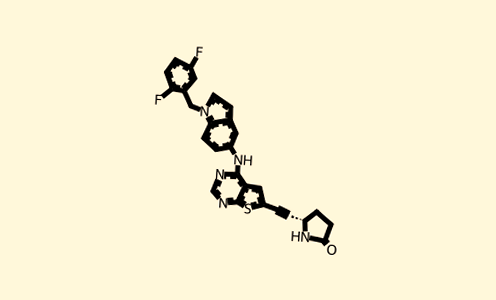 O=C1CC[C@@H](C#Cc2cc3c(Nc4ccc5c(ccn5Cc5cc(F)ccc5F)c4)ncnc3s2)N1